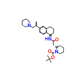 C=C(CN1CCCCC1)c1ccc2c(c1)CCC[C@H]2NC(=O)C[C@@H]1CCCCN1C(=O)OC(C)(C)C